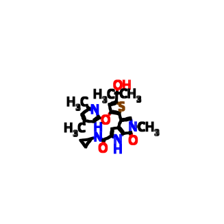 Cc1cc(C)nc(Oc2cc(C(C)(C)O)sc2-c2cn(C)c(=O)c3[nH]c(C(=O)NC4CC4)cc23)c1